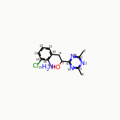 Cc1nc(C)nc(C(O)Cc2cccc(Cl)c2N)n1